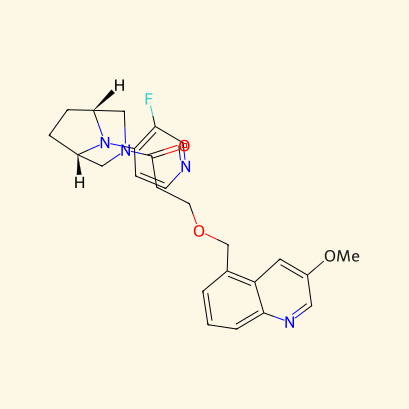 COc1cnc2cccc(COCCC(=O)N3C[C@H]4CC[C@@H](C3)N4c3ccncc3F)c2c1